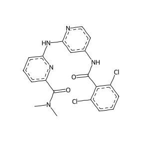 CN(C)C(=O)c1cccc(Nc2cc(NC(=O)c3c(Cl)cccc3Cl)ccn2)n1